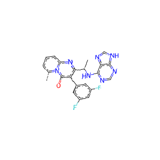 Cc1cccc2nc(C(C)Nc3ncnc4[nH]cnc34)c(-c3cc(F)cc(F)c3)c(=O)n12